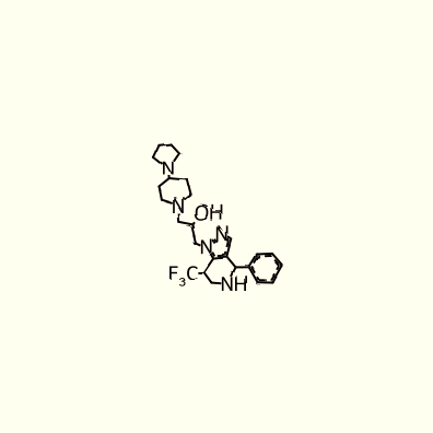 OC(CN1CCC(N2CCCC2)CC1)Cn1ncc2c1C(C(F)(F)F)CNC2c1ccccc1